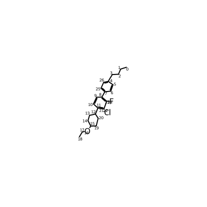 CCCCc1ccc(-c2ccc(C3CCC(OCC)CC3)c(Cl)c2F)cc1